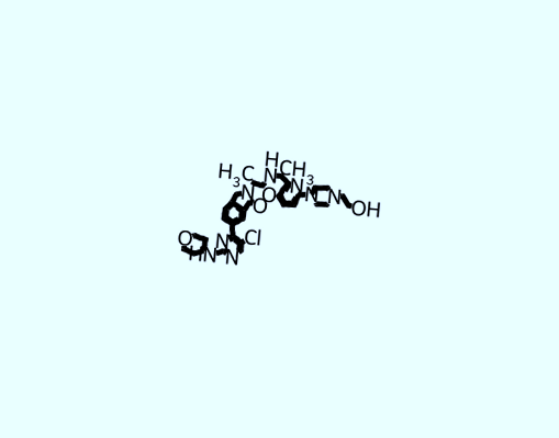 C[C@H](C(=O)N[C@H](C)c1cccc(N2CCN(CCO)CC2)n1)N1Cc2ccc(-c3nc(NC4CCOCC4)ncc3Cl)cc2C1=O